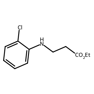 CCOC(=O)CCNc1ccccc1Cl